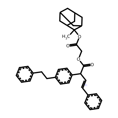 CC1(OC(=O)COC(=O)C(/C=C/c2ccccc2)c2ccc(CCc3ccccc3)cc2)C2CC3CC(C2)CC1C3